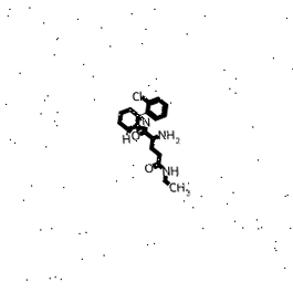 CCNC(=O)CCC(N)C1=N[C@]2(c3ccccc3Cl)CCC[C@H](O1)C2=O